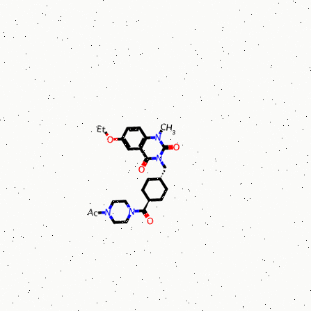 CCOc1ccc2c(c1)c(=O)n(C[C@H]1CC[C@H](C(=O)N3CCN(C(C)=O)CC3)CC1)c(=O)n2C